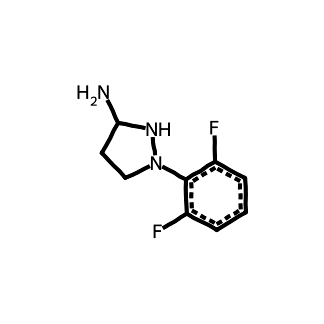 NC1CCN(c2c(F)cccc2F)N1